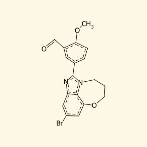 COc1ccc(-c2nc3cc(Br)cc4c3n2CCCO4)cc1C=O